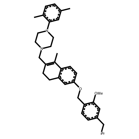 COc1cc(CC(C)C)ccc1COc1ccc2c(c1)CCC(CN1CCN(c3cc(C)ccc3C)CC1)=C2C